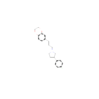 Clc1ccc(C2CCN(CCCc3ccc4c(c3)OCCO4)C2)cc1